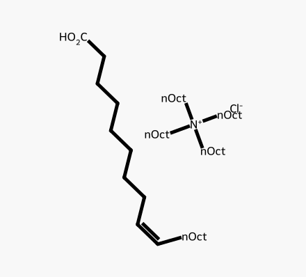 CCCCCCCC/C=C\CCCCCCCC(=O)O.CCCCCCCC[N+](CCCCCCCC)(CCCCCCCC)CCCCCCCC.[Cl-]